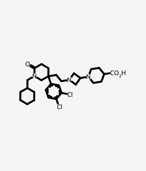 O=C(O)C1CCN(C2CN(CCC3(c4ccc(Cl)c(Cl)c4)CCC(=O)N(CC4CCCCC4)C3)C2)CC1